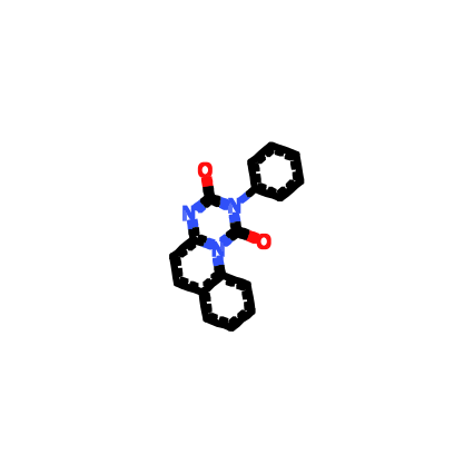 O=c1nc2ccc3ccccc3n2c(=O)n1-c1ccccc1